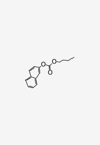 CCCCOC(=O)Oc1ccc2ccccc2c1